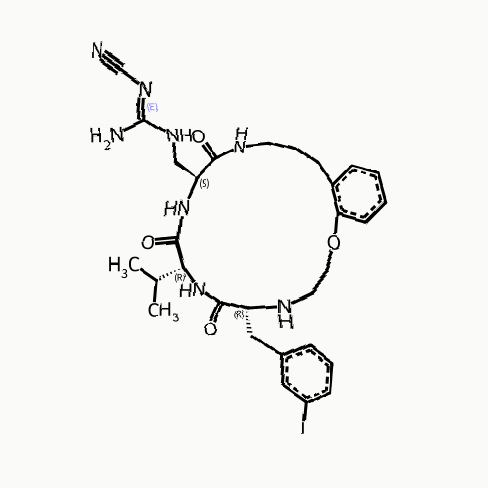 CC(C)[C@H]1NC(=O)[C@@H](Cc2cccc(I)c2)NCCOc2ccccc2CCCNC(=O)[C@H](CN/C(N)=N/C#N)NC1=O